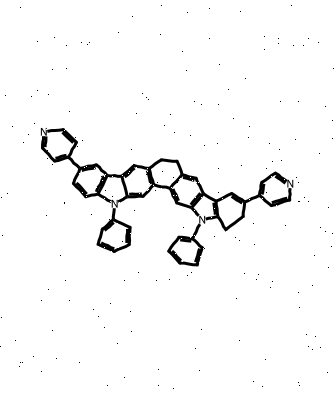 C1=C(c2ccncc2)CCc2c1c1cc3c(cc1n2-c1ccccc1)-c1cc2c(cc1CC3)c1cc(-c3ccncc3)ccc1n2-c1ccccc1